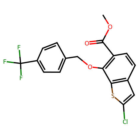 COC(=O)c1ccc2cc(Cl)sc2c1OCc1ccc(C(F)(F)F)cc1